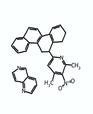 Cc1cc(C2Cc3c(ccc4ccccc34)C3=C2CCC=C3)nc(C)c1[N+](=O)[O-].c1cnc2ccncc2c1